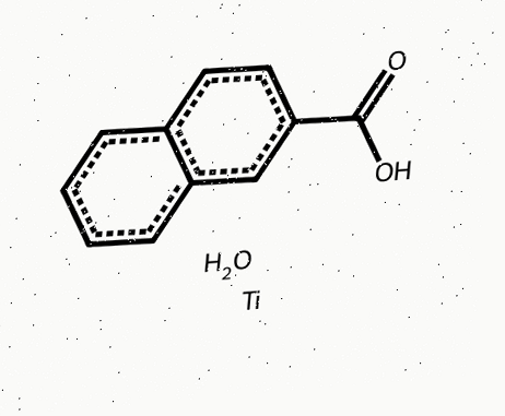 O.O=C(O)c1ccc2ccccc2c1.[Ti]